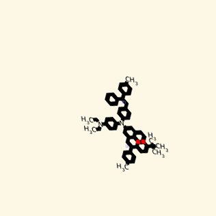 CCN(CC)c1ccc(N(c2ccc(/C=C(\c3ccccc3)c3ccc(C)cc3)cc2)c2cc(/C=C(/c3ccc(C)cc3)c3ccc(C(C)(C)C)cc3)c3ccccc3c2)cc1